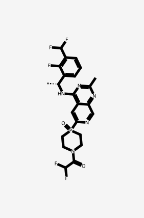 Cc1nc(N[C@H](C)c2cccc(C(F)F)c2F)c2cc(P3(=O)CCN(C(=O)C(F)F)CC3)ncc2n1